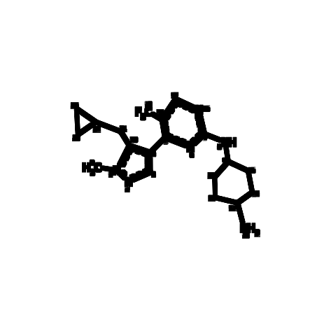 Cn1ncc(-c2nc(NC3CCC(N)CC3)ncc2C(F)(F)F)c1CC1CC1